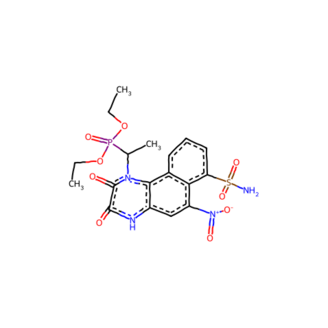 CCOP(=O)(OCC)C(C)n1c(=O)c(=O)[nH]c2cc([N+](=O)[O-])c3c(S(N)(=O)=O)cccc3c21